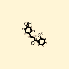 COc1ccccc1C(=O)/C=C/c1ccc(O)cc1